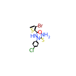 NC(=S)N(NC(=O)c1sccc1Br)c1ccc(Cl)cc1